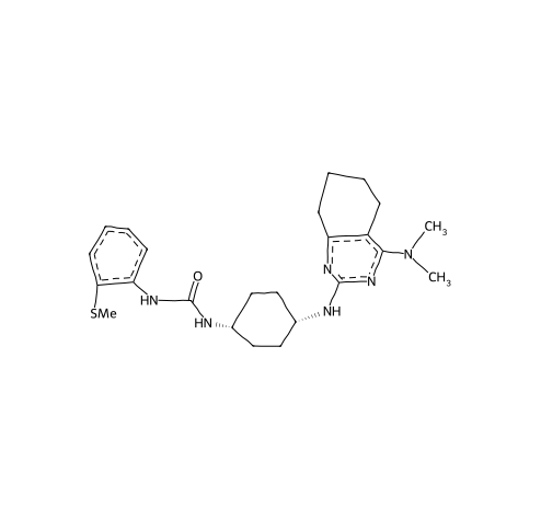 CSc1ccccc1NC(=O)N[C@H]1CC[C@@H](Nc2nc3c(c(N(C)C)n2)CCCC3)CC1